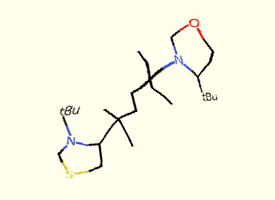 CC(C)(C)C1COCN1C(C)(C)CCC(C)(C)C1CSCN1C(C)(C)C